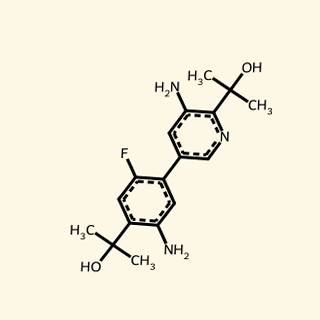 CC(C)(O)c1cc(F)c(-c2cnc(C(C)(C)O)c(N)c2)cc1N